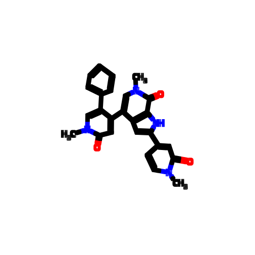 Cn1ccc(-c2cc3c(-c4cc(=O)n(C)cc4-c4ccccc4)cn(C)c(=O)c3[nH]2)cc1=O